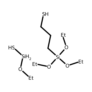 CCO[SiH2]S.CCO[Si](CCCS)(OCC)OCC